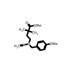 C=BN(CCC(C)(C)C(=O)OC)Cc1ccc(OC)cc1